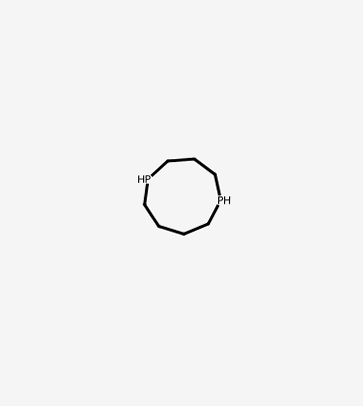 C1CCPCCCPC1